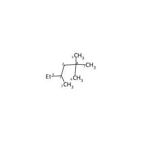 CCC(C)[CH]C(C)(C)C